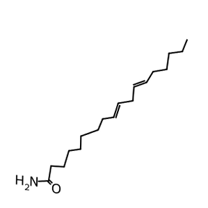 CCCCC/C=C/C/C=C/CCCCCCCC(N)=O